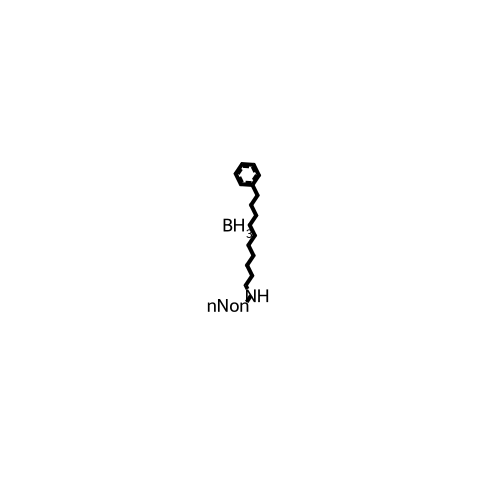 B.CCCCCCCCCNCCCCCCCCCCc1ccccc1